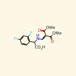 COC(=O)C(=CNC(C(=O)O)c1ccc(F)cc1F)C(=O)OC